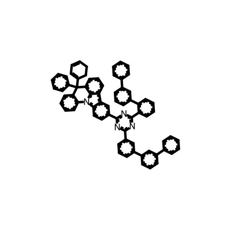 C1=CCCC(C2(c3ccccc3)c3ccccc3-n3c4ccc(-c5nc(-c6cccc(-c7cccc(-c8ccccc8)c7)c6)nc(-c6ccccc6-c6cccc(-c7ccccc7)c6)n5)cc4c4cccc2c43)=C1